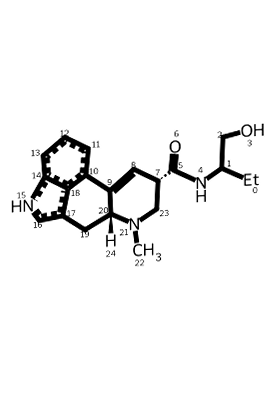 CCC(CO)NC(=O)[C@H]1C=C2c3cccc4[nH]cc(c34)C[C@H]2N(C)C1